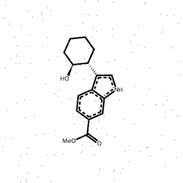 COC(=O)c1ccc2c([C@H]3CCCC[C@@H]3O)c[nH]c2c1